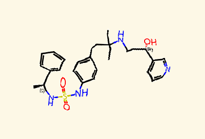 C[C@H](NS(=O)(=O)Nc1ccc(CC(C)(C)NC[C@H](O)c2cccnc2)cc1)c1ccccc1